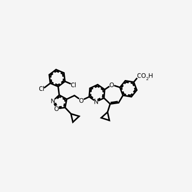 O=C(O)c1ccc2c(c1)Oc1ccc(OCc3c(-c4c(Cl)cccc4Cl)noc3C3CC3)nc1C(C1CC1)=C2